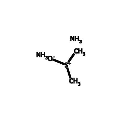 C[S+](C)[O-].N.N